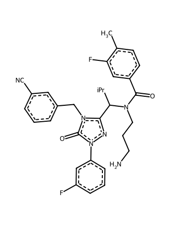 Cc1ccc(C(=O)N(CCCN)C(c2nn(-c3cccc(F)c3)c(=O)n2Cc2cccc(C#N)c2)C(C)C)cc1F